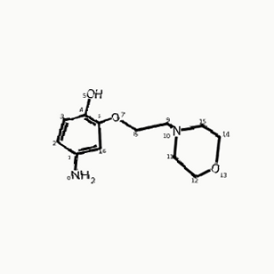 Nc1ccc(O)c(OCCN2CCOCC2)c1